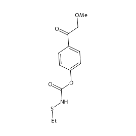 CCSNC(=O)Oc1ccc(C(=O)COC)cc1